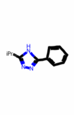 CC(C)c1nnc(-c2ccccc2)[nH]1